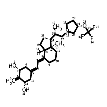 C=C1[C@H](O)CC(=CC=C2CCC[C@]3(C)[C@@H]([C@H](C)CN4CC[C@H](OC(F)(F)F)C4)CC[C@@H]23)C[C@@H]1O